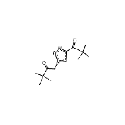 CC(C)(C)C(=O)Cn1cc(C(=O)C(C)(C)C)nn1